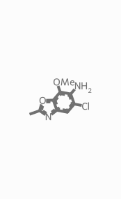 COc1c(N)c(Cl)cc2nc(C)oc12